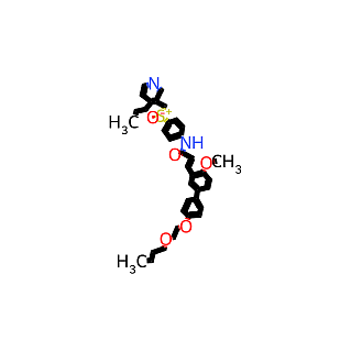 CCCCOCCOc1ccc(-c2ccc(OC)c(/C=C/C(=O)Nc3ccc([S@@+]([O-])Cc4cnccc4CCC)cc3)c2)cc1